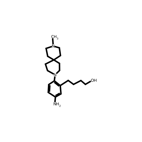 CN1CCC2(CC1)CCN(c1ccc(N)cc1CCCCO)CC2